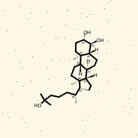 C[C@H](CCCC(C)(C)O)[C@H]1CC[C@H]2[C@@H]3CC[C@H]4[C@H](O)[C@@H](O)CC[C@]4(C)[C@H]3CC[C@]12C